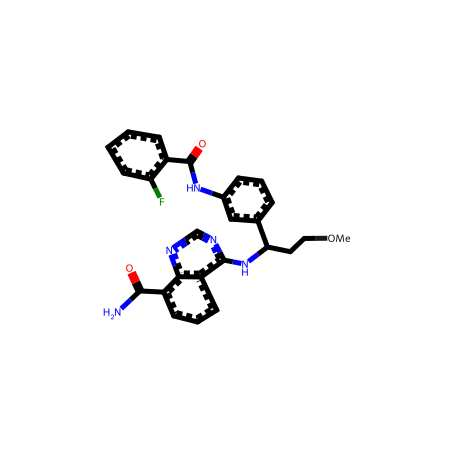 COCCC(Nc1ncnc2c(C(N)=O)cccc12)c1cccc(NC(=O)c2ccccc2F)c1